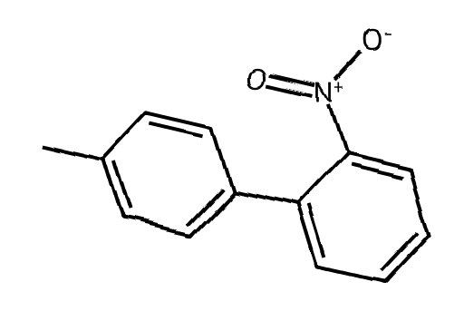 Cc1ccc(-c2ccccc2[N+](=O)[O-])cc1